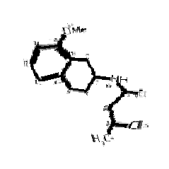 CCC(CC(C)Cl)NC1CCc2cccc(OC)c2C1